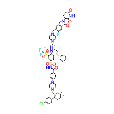 CC1(C)CCC(c2ccc(Cl)cc2)=C(CN2CCN(c3ccc(C(=O)NS(=O)(=O)c4ccc(N[C@H](CCN5CCN(Cc6cc7c(cc6F)C(=O)N(C6CCC(=O)NC6=O)C7)CC5)CSc5ccccc5)c(S(=O)(=O)C(F)(F)F)c4)cc3)CC2)C1